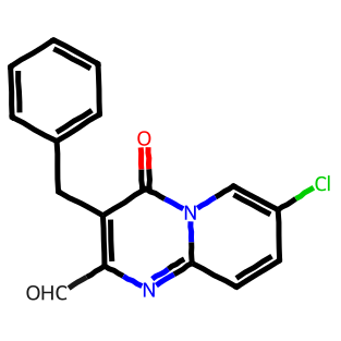 O=Cc1nc2ccc(Cl)cn2c(=O)c1Cc1ccccc1